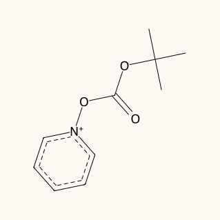 CC(C)(C)OC(=O)O[n+]1ccccc1